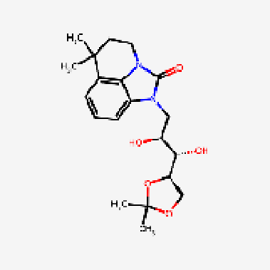 CC1(C)OC[C@H]([C@@H](O)[C@@H](O)Cn2c(=O)n3c4c(cccc42)C(C)(C)CC3)O1